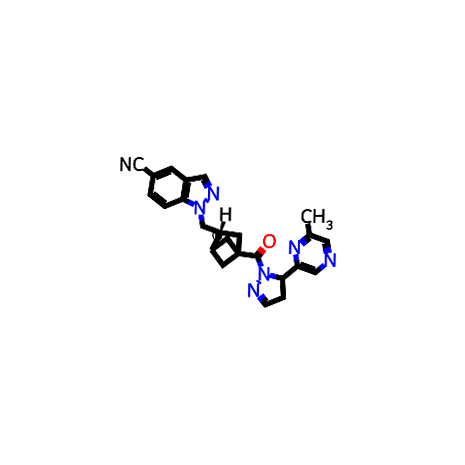 Cc1cncc(C2CC=NN2C(=O)C23CC(C2)[C@H](Cn2ncc4cc(C#N)ccc42)C3)n1